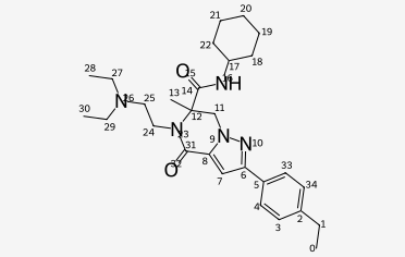 CCc1ccc(-c2cc3n(n2)CC(C)(C(=O)NC2CCCCC2)N(CCN(CC)CC)C3=O)cc1